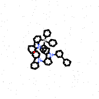 c1ccc(-c2cccc(-n3c4ccc(-n5c6ccccc6c6cccc([Si](c7ccccc7)(c7ccccc7)c7ccccc7)c65)cc4c4c(-n5c6ccccc6c6ccccc65)cccc43)c2)cc1